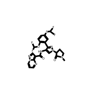 CN1CCC(n2cc(NC(=O)c3cnn4cccnc34)c(-c3cc(SC(F)F)ccc3OC(F)F)n2)C1=O